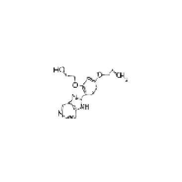 C=CCOc1ccc(-c2nc3cnccc3[nH]2)c(OCCO)c1